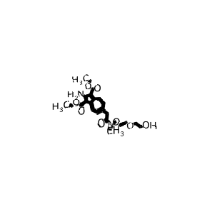 CCOC(=O)c1c2ccc(CC(=O)N(C)OCCOCCO)ccc-2c(C(=O)OCC)c1N